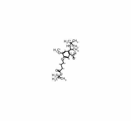 COc1cc(C(C)NC(C)(C)C)c([N+](=O)[O-])cc1OCCCC(=O)OC(C)(C)C